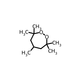 CC1CC(C)(C)OOC(C)(C)C1